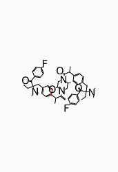 C=C(C(C)c1ccc(CC(CC)(C(=O)c2ccc(F)cc2)N(C)C)cc1)N1CC(C)N(C(=O)C(C)c2ccc(CC(CC)(C(=O)c3ccc(F)cc3)N(C)C)cc2)CC1OC